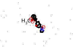 COC(=O)C12CCCC3CC1CC(C14CC5CC(C(=O)N6CCCC6)CC(C1)C(C5)C4)(C3)C2